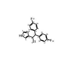 [CH2]CC(c1c[nH]cn1)C(c1ccc(F)cc1)c1ccc(F)cc1